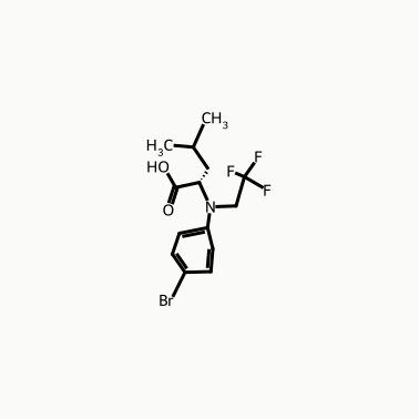 CC(C)C[C@@H](C(=O)O)N(CC(F)(F)F)c1ccc(Br)cc1